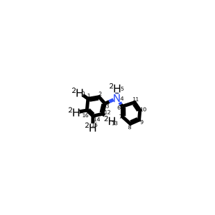 [2H]c1cc(N([2H])c2ccccc2)c([2H])c([2H])c1[2H]